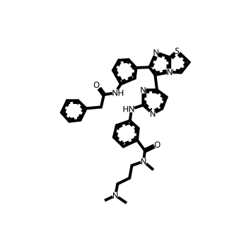 CN(C)CCCN(C)C(=O)c1cccc(Nc2nccc(-c3c(-c4cccc(NC(=O)Cc5ccccc5)c4)nc4sccn34)n2)c1